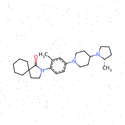 Cc1cc(N2CCC(N3CCC[C@@H]3C)CC2)ccc1N1CCC2(CCCCC2)C1=O